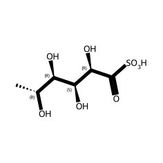 C[C@@H](O)[C@@H](O)[C@H](O)[C@@H](O)C(=O)S(=O)(=O)O